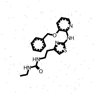 CCNC(=O)NCCc1csc(Nc2ncccc2OCc2ccccc2)n1